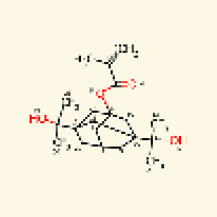 C=C(C)C(=O)OC12CC3CC(C(O)(C(F)(F)F)C(F)(F)F)(C1)CC(C(O)(C(F)(F)F)C(F)(F)F)(C3)C2